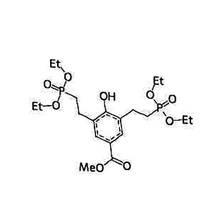 CCOP(=O)(CCc1cc(C(=O)OC)cc(CCP(=O)(OCC)OCC)c1O)OCC